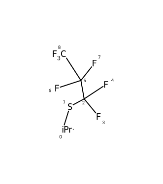 C[C](C)SC(F)(F)C(F)(F)C(F)(F)F